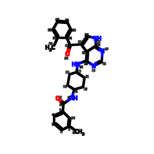 Cc1cccc(C(=O)NC2CCC(Nc3ncnc4[nH]cc(C(=O)c5ccccc5C)c34)CC2)c1